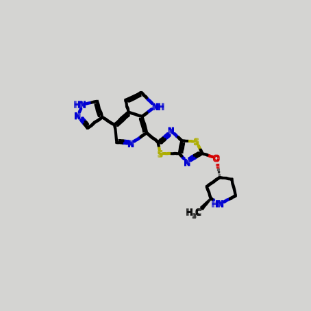 C[C@H]1C[C@H](Oc2nc3sc(-c4ncc(-c5cn[nH]c5)c5cc[nH]c45)nc3s2)CCN1